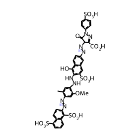 COc1cc(/N=N/c2ccc3c(S(=O)(=O)O)cccc3c2S(=O)(=O)O)c(C)cc1NNc1c(S(=O)(=O)O)cc2cc(/N=N/C3C(=O)N(c4ccc(S(=O)(=O)O)cc4)N=C3C(=O)O)ccc2c1O